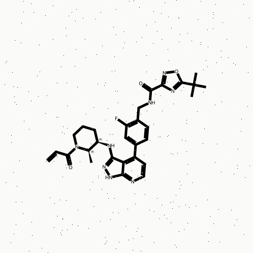 C=CC(=O)N1CCC[C@@H](Nc2n[nH]c3nccc(-c4ccc(CNC(=O)c5noc(C(C)(C)C)n5)c(F)c4)c23)[C@H]1C